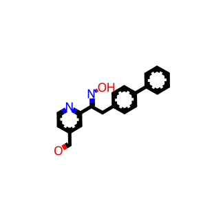 O=Cc1ccnc(/C(Cc2ccc(-c3ccccc3)cc2)=N/O)c1